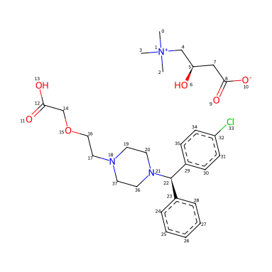 C[N+](C)(C)C[C@H](O)CC(=O)[O-].O=C(O)COCCN1CCN([C@H](c2ccccc2)c2ccc(Cl)cc2)CC1